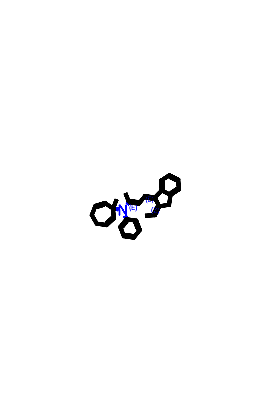 C/C=C1/Cc2ccccc2/C1=C/C=C(\C)N(c1ccccc1)C1(C)C=CCCC=C1